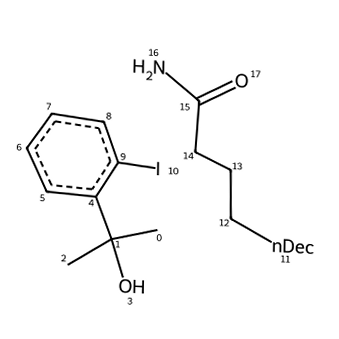 CC(C)(O)c1ccccc1I.CCCCCCCCCCCCCC(N)=O